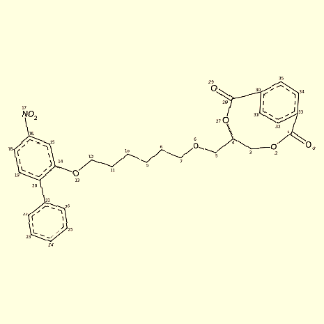 O=C1OCC(COCCCCCCOc2cc([N+](=O)[O-])ccc2-c2ccccc2)OC(=O)c2ccc1cc2